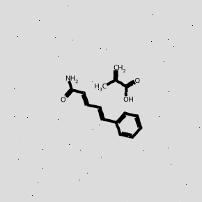 C=C(C)C(=O)O.NC(=O)C=CC=Cc1ccccc1